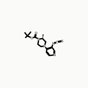 C[C@H]1CN(c2ccncc2N=C=S)CCN1C(=O)OC(C)(C)C